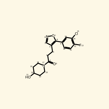 O=C(CCc1cnoc1-c1ccc(F)c(Cl)c1)N1CCC(O)CC1